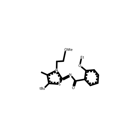 CCOc1ccccc1C(=O)/N=c1\sc(C(C)(C)C)c(C)n1CCOC